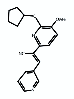 COc1ccc(C(C#N)=Cc2cccnc2)nc1OC1CCCC1